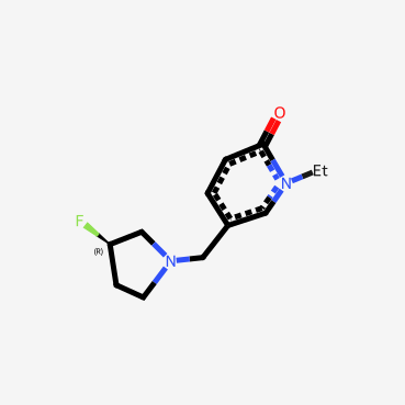 CCn1cc(CN2CC[C@@H](F)C2)ccc1=O